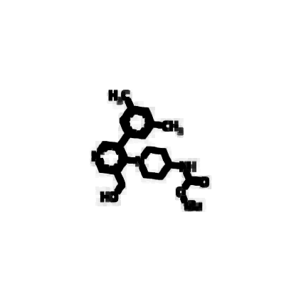 Cc1cc(C)cc(-c2cncc(CO)c2N2CCC(NC(=O)OC(C)(C)C)CC2)c1